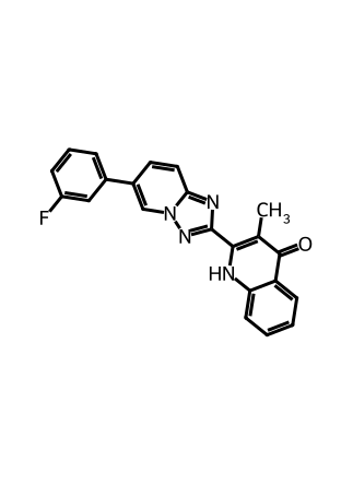 Cc1c(-c2nc3ccc(-c4cccc(F)c4)cn3n2)[nH]c2ccccc2c1=O